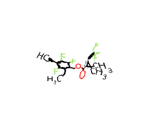 C#Cc1c(F)c(F)c(COC(=O)[C@@H]2[C@@H](C=C(F)F)C2(C)C)c(CC)c1F